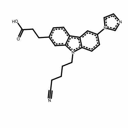 N#CCCCCn1c2ccc(-n3ccnc3)cc2c2ccc(CCC(=O)O)cc21